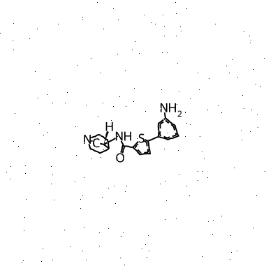 Nc1cccc(-c2ccc(C(=O)N[C@H]3CN4CCC3CC4)s2)c1